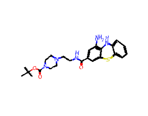 CC(C)(C)OC(=O)N1CCN(CCNC(=O)c2cc(N)c3c(c2)Sc2ccccc2N3)CC1